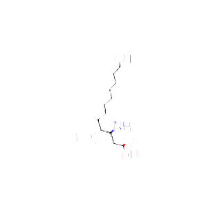 CCCCCCCCC[C@@H](C)C(=N)CC(=O)O